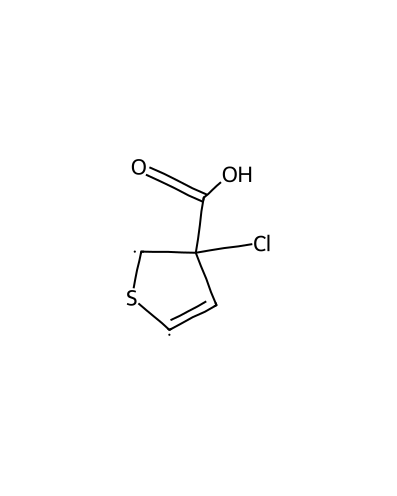 O=C(O)C1(Cl)[CH]S[C]=C1